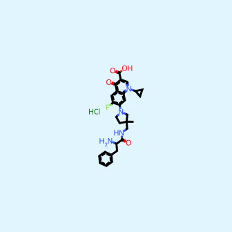 CC1(CNC(=O)C(N)Cc2ccccc2)CCN(c2cc3c(cc2F)c(=O)c(C(=O)O)cn3C2CC2)C1.Cl